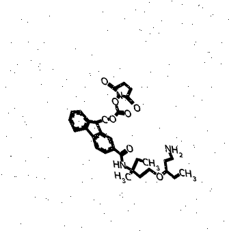 CCC(CCN)OCCC(C)(CC)NC(=O)c1ccc2c(c1)C(COC(=O)ON1C(=O)CCC1=O)c1ccccc1-2